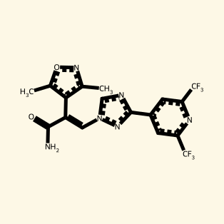 Cc1noc(C)c1/C(=C\n1cnc(-c2cc(C(F)(F)F)nc(C(F)(F)F)c2)n1)C(N)=O